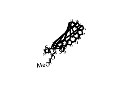 COCCOCCN1C(c2cccs2)C2C3=c4c5c6c7c8c9c(cc%10c%11c%12c%13c%14c(cc%15c%16c(c4c6c(c%16%14)c%13c7c%119)=C(C3)C%15)=CC%12C%10)=CC3CC2(C=5C83)C1c1cccs1